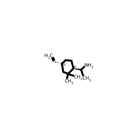 C=C[C@@H]1CC[C@@H](C(C)N)C(C)(C)C1